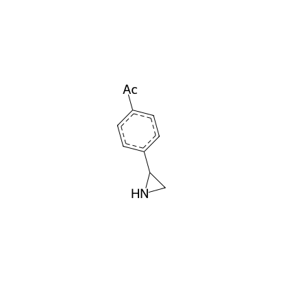 CC(=O)c1ccc(C2CN2)cc1